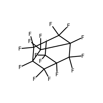 FC1(F)[C]2C(F)(F)C3(F)C(F)(F)C1(F)C(F)(F)C(F)(C2(F)F)C3(F)F